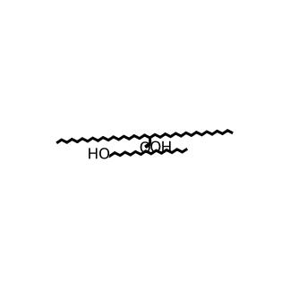 CCCCCCCCCCCCCCCCCCC(CCCCCCCCCCCCCCCC)C(=O)O.CCCCCCCCCCCCCCCCO